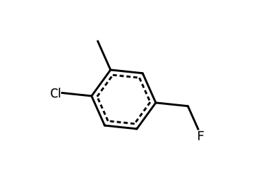 Cc1cc(CF)ccc1Cl